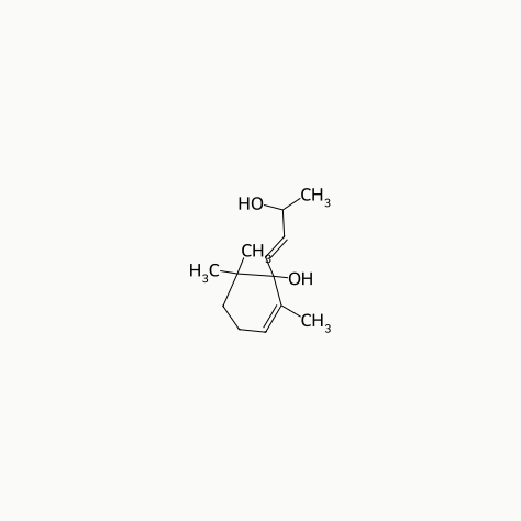 CC1=CCCC(C)(C)C1(O)C=CC(C)O